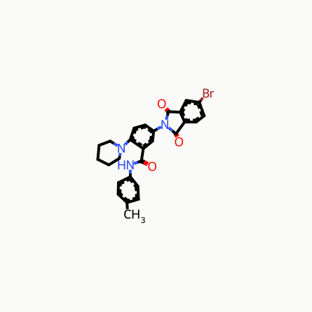 Cc1ccc(NC(=O)c2cc(N3C(=O)c4ccc(Br)cc4C3=O)ccc2N2CCCCC2)cc1